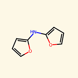 c1coc(Nc2ccco2)c1